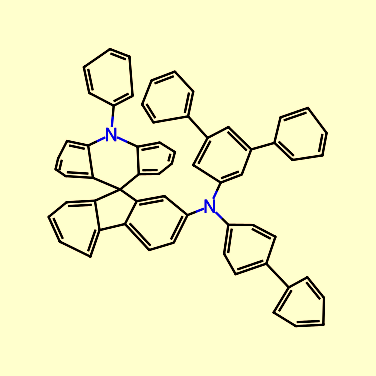 c1ccc(-c2ccc(N(c3cc(-c4ccccc4)cc(-c4ccccc4)c3)c3ccc4c(c3)C3(c5ccccc5-4)c4ccccc4N(c4ccccc4)c4ccccc43)cc2)cc1